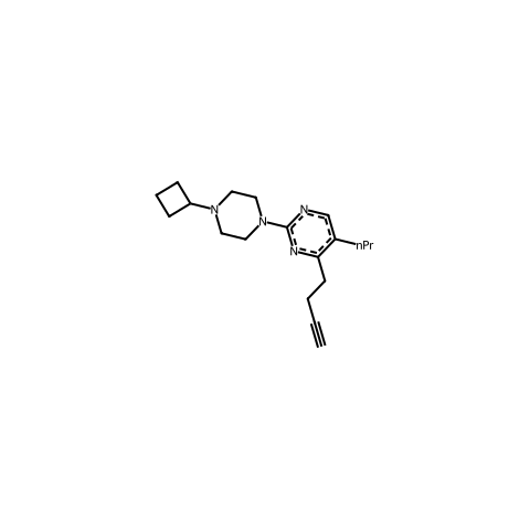 C#CCCc1nc(N2CCN(C3CCC3)CC2)ncc1CCC